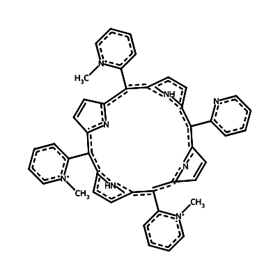 C[n+]1ccccc1-c1c2nc(c(-c3cccc[n+]3C)c3ccc([nH]3)c(-c3cccc[n+]3C)c3nc(c(-c4ccccn4)c4ccc1[nH]4)C=C3)C=C2